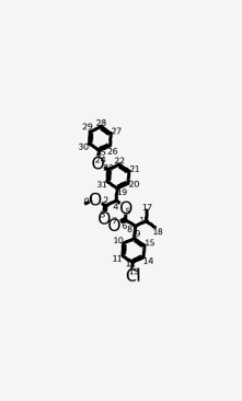 COC(=O)C(OC(=O)C(c1ccc(Cl)cc1)C(C)C)c1cccc(Oc2ccccc2)c1